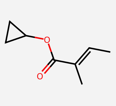 CC=C(C)C(=O)OC1CC1